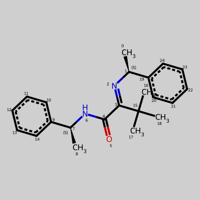 C[C@H](N=C(C(=O)N[C@@H](C)c1ccccc1)C(C)(C)C)c1ccccc1